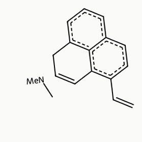 C=Cc1ccc2cccc3c2c1C=CC3.CNC